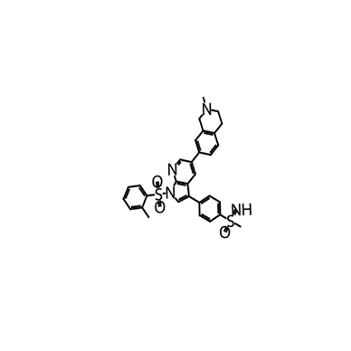 Cc1ccccc1S(=O)(=O)n1cc(-c2ccc(S(C)(=N)=O)cc2)c2cc(-c3ccc4c(c3)CN(C)CC4)cnc21